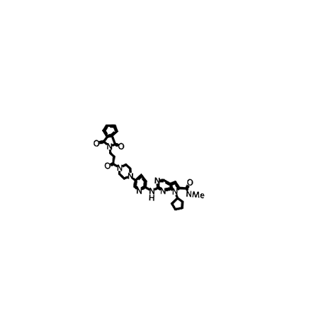 CNC(=O)c1cc2cnc(Nc3ccc(N4CCN(C(=O)CCN5C(=O)c6ccccc6C5=O)CC4)cn3)nc2n1C1CCCC1